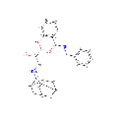 O=C(NCc1ccccc1)c1ccccc1OCC(O)CNC1C2CC3CC(C2)CC1C3